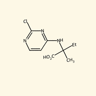 CCC(C)(Nc1ccnc(Cl)n1)C(=O)O